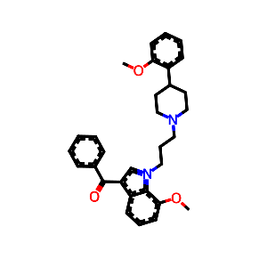 COc1ccccc1C1CCN(CCCn2cc(C(=O)c3ccccc3)c3cccc(OC)c32)CC1